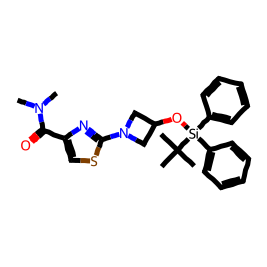 CN(C)C(=O)c1csc(N2CC(O[Si](c3ccccc3)(c3ccccc3)C(C)(C)C)C2)n1